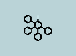 Ic1cc(-c2ccccc2)c(-c2ccccc2)c(-c2ccccc2)c1-c1ccccc1